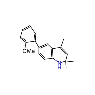 COc1ccccc1-c1ccc2c(c1)C(C)=CC(C)(C)N2